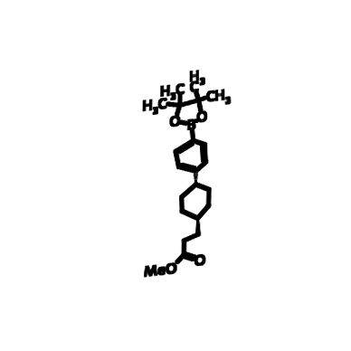 COC(=O)CC[C@H]1CC[C@H](c2ccc(B3OC(C)(C)C(C)(C)O3)cc2)CC1